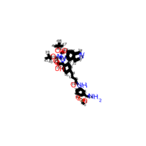 CCS(=O)(=O)c1ccc(NC(=O)CCCc2ccc(C(C(=O)O)N(c3ccc4cnccc4c3)N(C(=O)OC(C)(C)C)C(=O)OC(C)(C)C)cc2)cc1CN